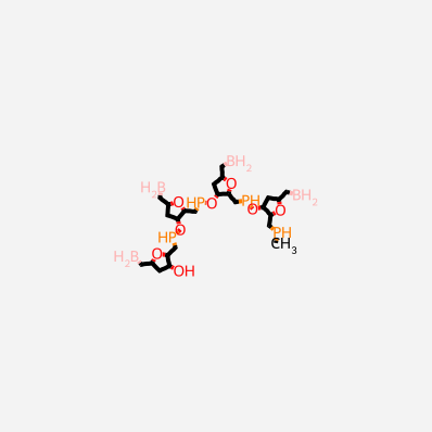 BCC1CC(O)C(CPOC2CC(CB)OC2CPOC2CC(CB)OC2CPOC2CC(CB)OC2CPC)O1